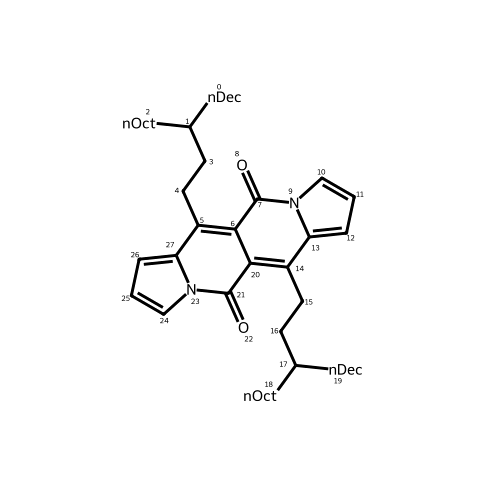 CCCCCCCCCCC(CCCCCCCC)CCc1c2c(=O)n3cccc3c(CCC(CCCCCCCC)CCCCCCCCCC)c2c(=O)n2cccc12